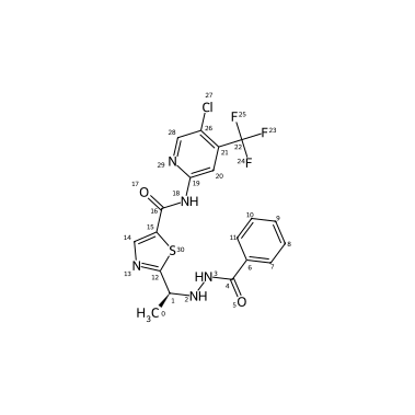 C[C@H](NNC(=O)c1ccccc1)c1ncc(C(=O)Nc2cc(C(F)(F)F)c(Cl)cn2)s1